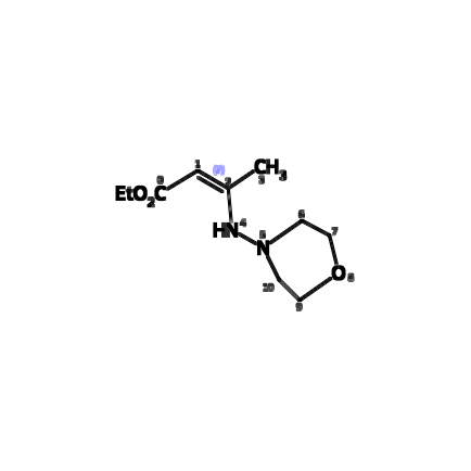 CCOC(=O)/C=C(/C)NN1CCOCC1